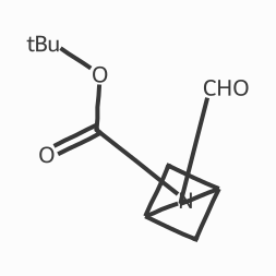 CC(C)(C)OC(=O)N1C2CC(C2)C1C=O